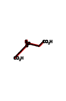 O=C(O)CCCCCCCC=CCC=CCCCCCCCCCOc1cc(CN2CCCC2)cc(OCCCCCCCCCC=CC/C=C\CCCCCCCC(=O)O)c1